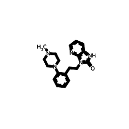 CN1CCN(c2ccccc2CCn2c(=O)[nH]c3cccnc32)CC1